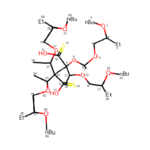 CCCCOC(CC)COC(C)OC(C(O)=S)(C(C)OCC(CC)OCCCC)C(C(O)=S)(C(C)OCC(CC)OCCCC)C(C)OCC(CC)OCCCC